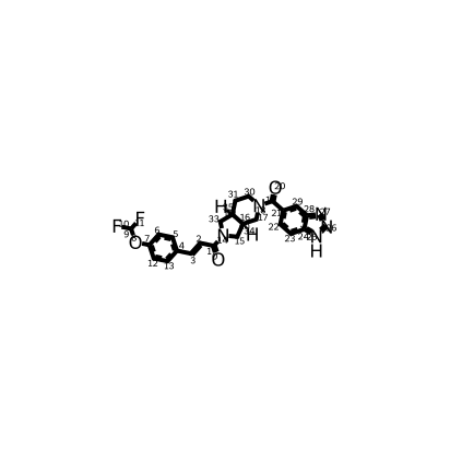 O=C(C=Cc1ccc(OC(F)F)cc1)N1C[C@@H]2CN(C(=O)c3ccc4[nH]nnc4c3)CC[C@H]2C1